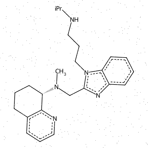 CC(C)NCCCn1c(CN(C)[C@H]2CCCc3cccnc32)nc2ccccc21